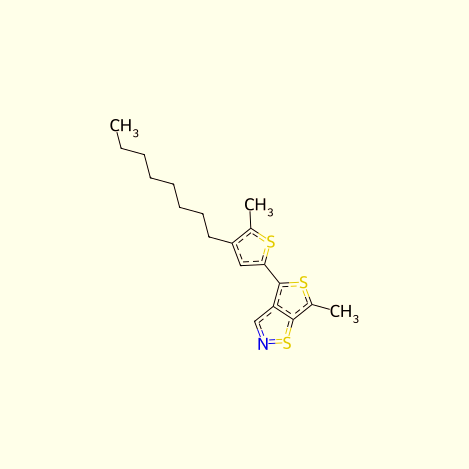 CCCCCCCCc1cc(-c2sc(C)c3sncc23)sc1C